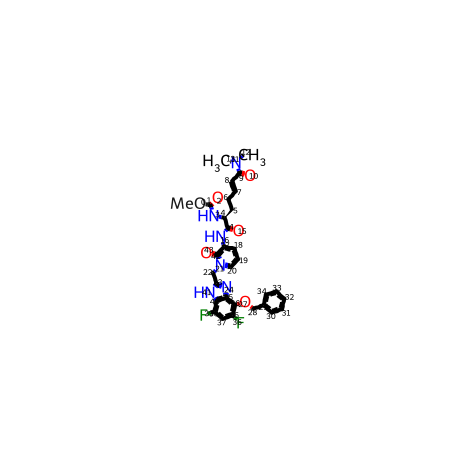 COC(=O)N[C@@H](CC/C=C/C(=O)N(C)C)C(=O)Nc1cccn(Cc2nc3c(OCc4ccccc4)c(F)cc(F)c3[nH]2)c1=O